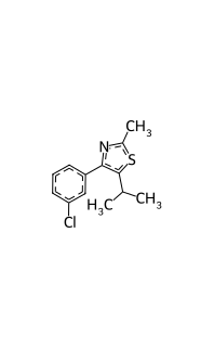 Cc1nc(-c2cccc(Cl)c2)c(C(C)C)s1